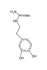 N=C(N)NCCc1ccc(O)c(O)c1